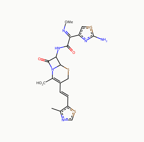 CON=C(C(=O)NC1C(=O)N2C(C(=O)O)=C(C=Cc3scnc3C)CSC12)c1csc(N)n1